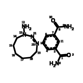 NC(=O)c1cccc(C(N)=O)c1.NN1CCCCCCN=N1